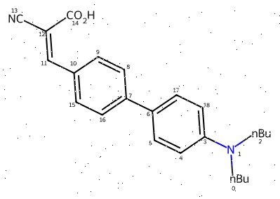 CCCCN(CCCC)c1ccc(-c2ccc(/C=C(/C#N)C(=O)O)cc2)cc1